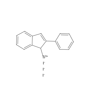 [I-].[I-].[I-].[Ti+3][CH]1C(c2ccccc2)=Cc2ccccc21